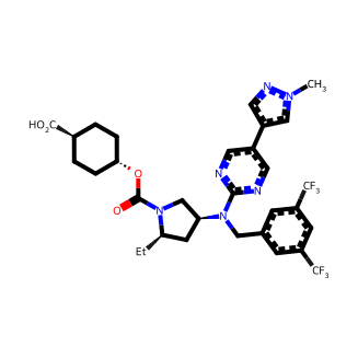 CC[C@@H]1C[C@H](N(Cc2cc(C(F)(F)F)cc(C(F)(F)F)c2)c2ncc(-c3cnn(C)c3)cn2)CN1C(=O)O[C@H]1CC[C@H](C(=O)O)CC1